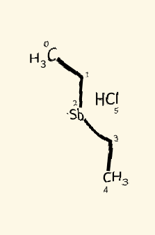 C[CH2][Sb][CH2]C.Cl